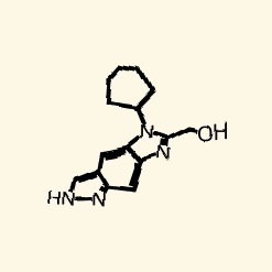 OCc1nc2cc3n[nH]cc3cc2n1C1CCCCC1